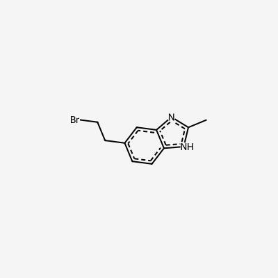 Cc1nc2cc(CCBr)ccc2[nH]1